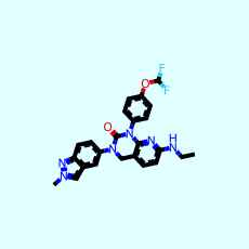 CCNc1ccc2c(n1)N(c1ccc(OC(F)F)cc1)C(=O)N(c1ccc3nn(C)cc3c1)C2